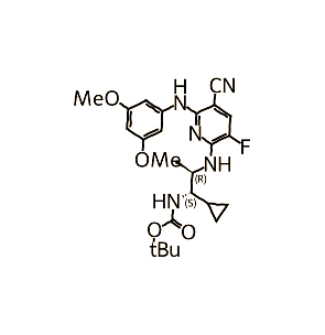 COc1cc(Nc2nc(N[C@H](C)[C@@H](NC(=O)OC(C)(C)C)C3CC3)c(F)cc2C#N)cc(OC)c1